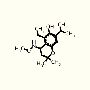 CCc1c(O)c(C(C)C)cc2c1C(NOC)CC(C)(C)O2